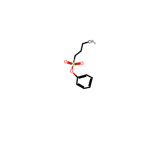 CCCCS(=O)(=O)Oc1ccccc1